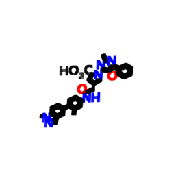 Cc1nc(N2C[C@@H](CC(=O)Nc3ccc(-c4ccc5c(cnn5C)c4)c(C)c3)C[C@H]2C(=O)O)c2oc3ccccc3c2n1